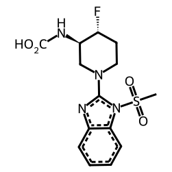 CS(=O)(=O)n1c(N2CC[C@@H](F)[C@H](NC(=O)O)C2)nc2ccccc21